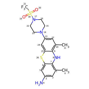 Cc1cc(N)cc2c1Nc1c(C)cc(N3CCN(S(=O)(=O)C(F)(F)F)CC3)cc1S2